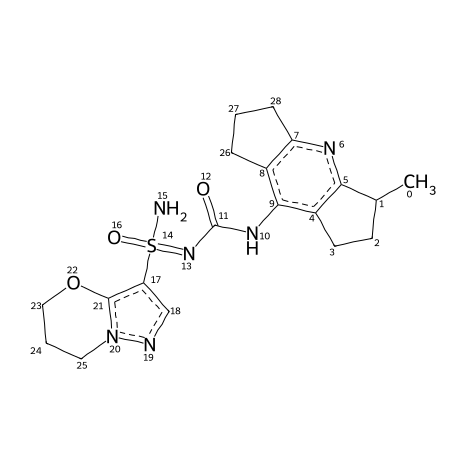 CC1CCc2c1nc1c(c2NC(=O)N=S(N)(=O)c2cnn3c2OCCC3)CCC1